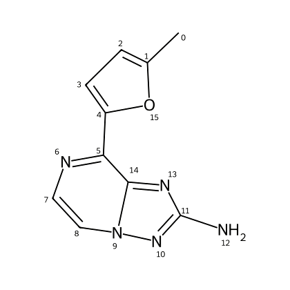 Cc1ccc(-c2nccn3nc(N)nc23)o1